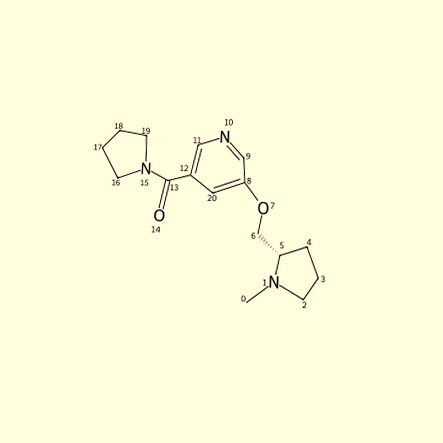 CN1CCC[C@H]1COc1cncc(C(=O)N2CCCC2)c1